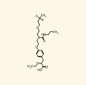 CCCNC(=O)N(CCOCCC(C)(F)F)CCOc1ccc(CC(OCC)C(=O)O)cc1